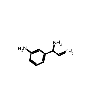 C=CC(N)c1cccc(N)c1